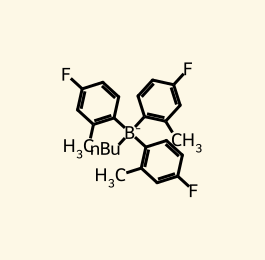 CCCC[B-](c1ccc(F)cc1C)(c1ccc(F)cc1C)c1ccc(F)cc1C